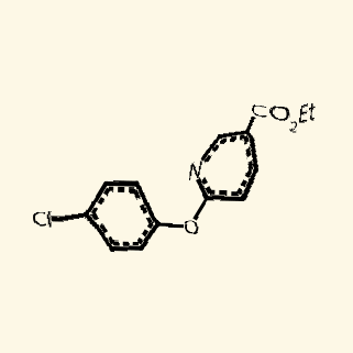 CCOC(=O)c1ccc(Oc2ccc(Cl)cc2)nc1